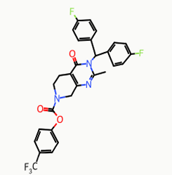 Cc1nc2c(c(=O)n1C(c1ccc(F)cc1)c1ccc(F)cc1)CCN(C(=O)Oc1ccc(C(F)(F)F)cc1)C2